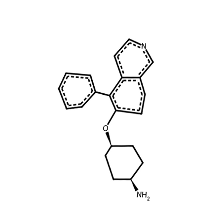 N[C@H]1CC[C@@H](Oc2ccc3cnccc3c2-c2ccccc2)CC1